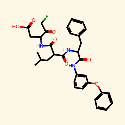 CC(C)CC(C(=O)NC(CC(=O)O)C(=O)CF)C(=O)NC(Cc1ccccc1)C(=O)Nc1cccc(Oc2ccccc2)c1